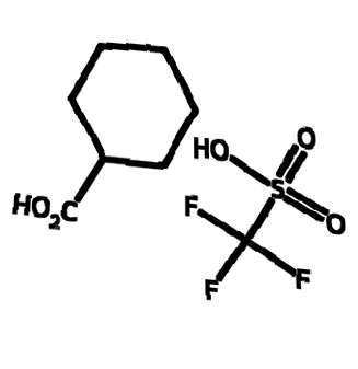 O=C(O)C1CCCCC1.O=S(=O)(O)C(F)(F)F